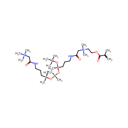 C=C(C)C(=O)OCC[N+](C)(C)CC(=O)NCCC[Si](C)(O[Si](C)(C)C)O[Si](C)(C)O[Si](C)(C)CCCNC(=O)C[N+](C)(C)C